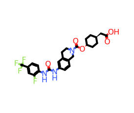 O=C(O)C[C@H]1CC[C@H](OC(=O)N2CCc3cc(NC(=O)Nc4ccc(C(F)(F)F)cc4F)ccc3C2)CC1